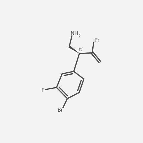 C=C(C(C)C)[C@H](CN)c1ccc(Br)c(F)c1